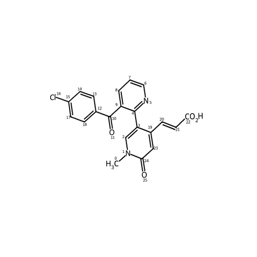 Cn1cc(-c2ncccc2C(=O)c2ccc(Cl)cc2)c(/C=C/C(=O)O)cc1=O